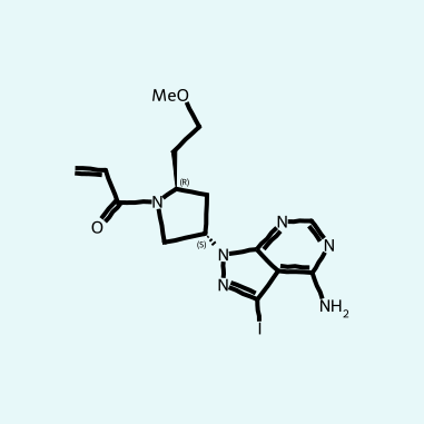 C=CC(=O)N1C[C@@H](n2nc(I)c3c(N)ncnc32)C[C@@H]1CCOC